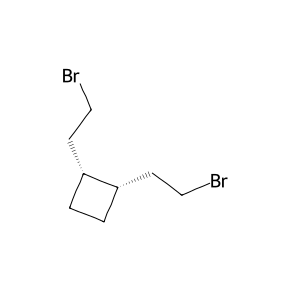 BrCC[C@@H]1CC[C@@H]1CCBr